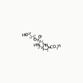 O=C(O)c1ccc2c(n1)CC(C(=O)OCCCO)NC2